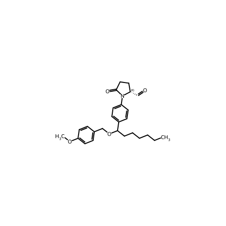 CCCCCCC(OCc1ccc(OC)cc1)c1ccc(N2C(=O)CC[C@@H]2C=O)cc1